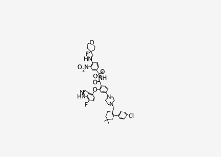 CC1(C)CCC(CN2CCN(c3ccc(C(=O)NS(=O)(=O)c4ccc(NCC5(F)CCOCC5)c([N+](=O)[O-])c4)c(Oc4ccc(F)c5[nH]ncc45)c3)CC2)=C(c2ccc(Cl)cc2)C1